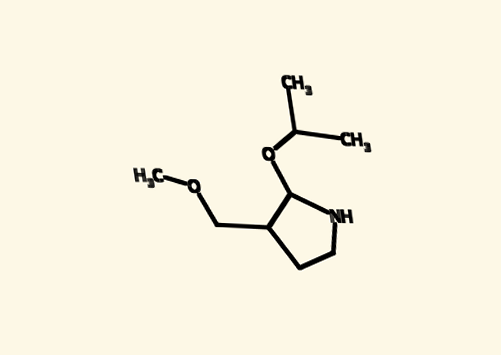 COCC1CCNC1OC(C)C